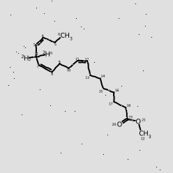 [2H]C([2H])(/C=C\CC)/C=C\CC/C=C\CCCCCCC(=O)OC